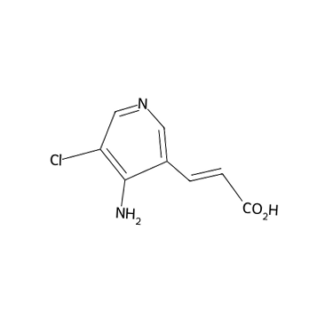 Nc1c(Cl)cncc1C=CC(=O)O